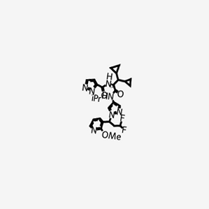 COc1ncccc1C(CC(F)F)n1cc(NC(=O)[C@@H](NC(=O)c2ccnn2C(C)C)C(C2CC2)C2CC2)cn1